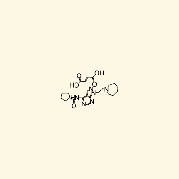 O=C(Nc1ncnc2c1cnn2CCN1CCCCCC1)C1CCCC1.O=C(O)C=CC(=O)O